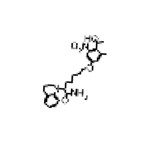 Cc1cc(OCCCCCC(C(N)=O)N2CCCc3ccccc32)cc([N+](=O)[O-])c1C(C)O